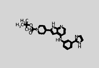 CC(C)(C)OC(=O)N1CC=C(c2cc3c(Nc4cccc(-c5ncc[nH]5)c4)ccnc3[nH]2)CC1